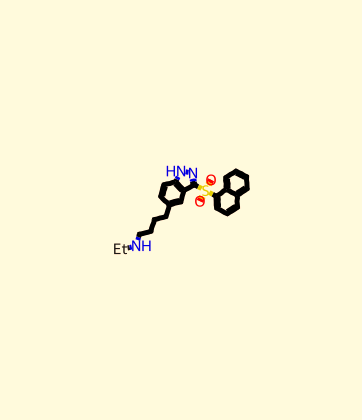 CCNCCCCc1ccc2[nH]nc(S(=O)(=O)c3cccc4ccccc34)c2c1